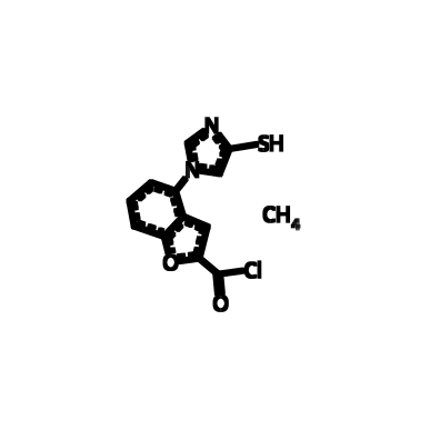 C.O=C(Cl)c1cc2c(-n3cnc(S)c3)cccc2o1